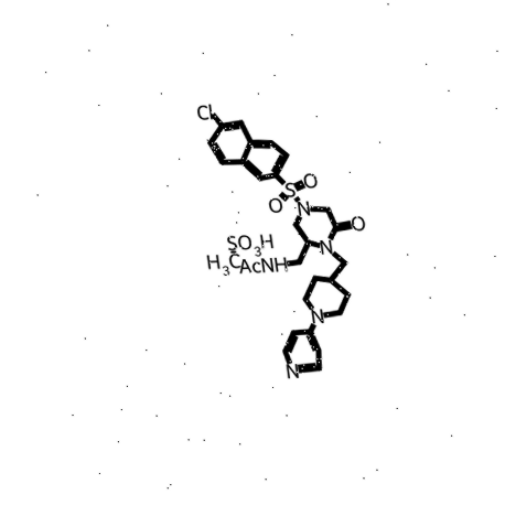 CC(=O)NCC1CN(S(=O)(=O)c2ccc3cc(Cl)ccc3c2)CC(=O)N1CC1CCN(c2ccncc2)CC1.CS(=O)(=O)O